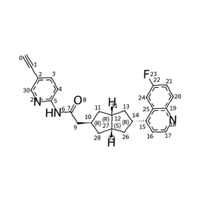 C#Cc1ccc(NC(=O)C[C@H]2C[C@@H]3C[C@H](c4ccnc5ccc(F)cc45)C[C@@H]3C2)nc1